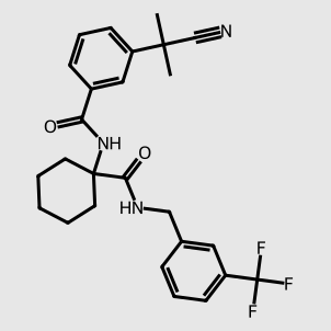 CC(C)(C#N)c1cccc(C(=O)NC2(C(=O)NCc3cccc(C(F)(F)F)c3)CCCCC2)c1